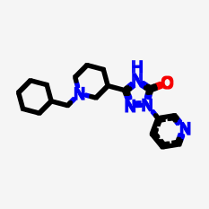 O=c1[nH]c(C2CCCN(CC3CCCCC3)C2)nn1-c1cccnc1